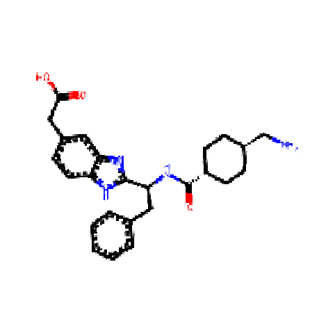 NC[C@H]1CC[C@H](C(=O)N[C@@H](Cc2ccccc2)c2nc3cc(CC(=O)O)ccc3[nH]2)CC1